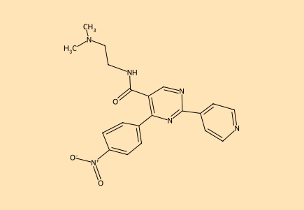 CN(C)CCNC(=O)c1cnc(-c2ccncc2)nc1-c1ccc([N+](=O)[O-])cc1